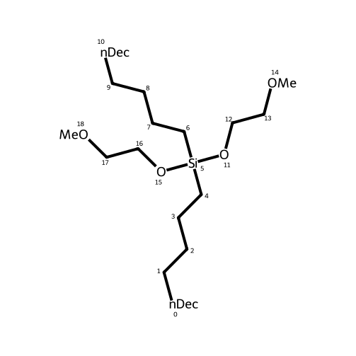 CCCCCCCCCCCCCC[Si](CCCCCCCCCCCCCC)(OCCOC)OCCOC